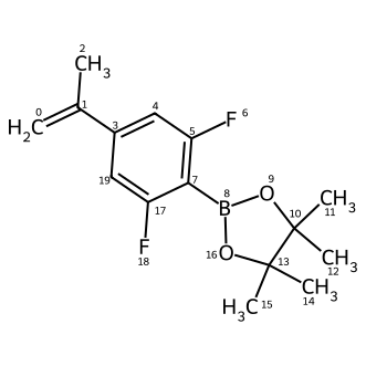 C=C(C)c1cc(F)c(B2OC(C)(C)C(C)(C)O2)c(F)c1